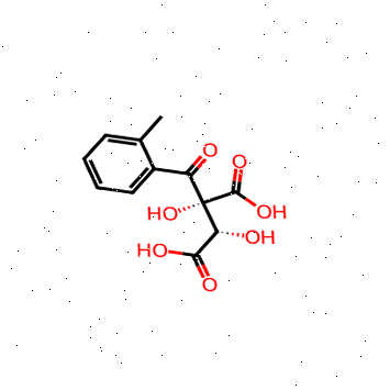 Cc1ccccc1C(=O)[C@@](O)(C(=O)O)[C@H](O)C(=O)O